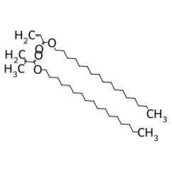 C=C(C)C(=O)OCCCCCCCCCCCCCCCCC.C=CC(=O)OCCCCCCCCCCCCCCCCC